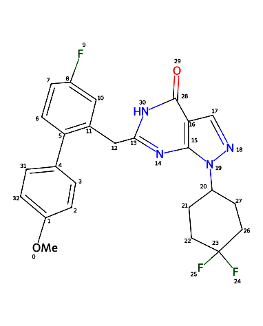 COc1ccc(-c2ccc(F)cc2Cc2nc3c(cnn3C3CCC(F)(F)CC3)c(=O)[nH]2)cc1